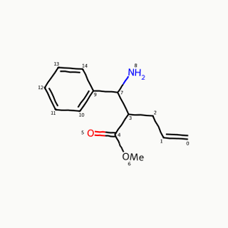 C=CCC(C(=O)OC)C(N)c1ccccc1